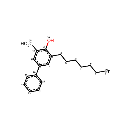 CC(C)CCCCCCc1cc(-c2ccccc2)cc(C(=O)O)c1O